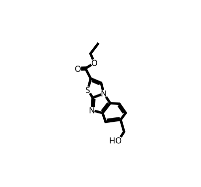 CCOC(=O)c1cn2c(nc3cc(CO)ccc32)s1